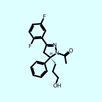 CC(=O)N1N=C(c2cc(F)ccc2F)C[C@]1(CCCO)c1ccccc1